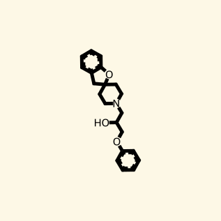 OC(COc1ccccc1)CN1CCC2(CC1)Cc1ccccc1O2